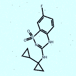 O=S1(=O)N=C(NC2(C3CC3)CC2)Nc2ccc(F)cc21